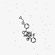 O=C(NNS(=O)(=O)c1ccccc1F)c1cccc(OCC2CC2)c1